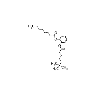 CCCCCCCC(=O)Oc1ccccc1OC(=O)CCCCC(C)(C)C